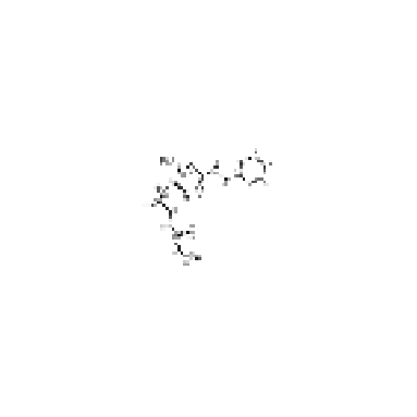 CC[C@H](NC(=O)OCc1ccccc1)C(=O)NC(C)CCC(=O)OC(C)(C)C